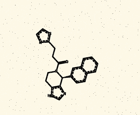 O=C(CCc1nccs1)N1CCc2[nH]cnc2[C@@H]1c1ccc2ccccc2c1